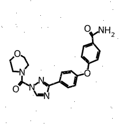 NC(=O)c1ccc(Oc2ccc(-c3ncn(C(=O)N4CCOCC4)n3)cc2)cc1